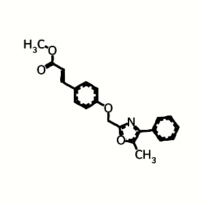 COC(=O)C=Cc1ccc(OCc2nc(-c3ccccc3)c(C)o2)cc1